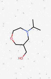 CC(C)N1CCOCC(CO)C1